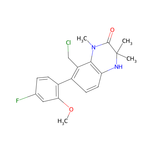 COc1cc(F)ccc1-c1ccc2c(c1CCl)N(C)C(=O)C(C)(C)N2